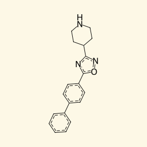 c1ccc(-c2ccc(-c3nc(C4CCNCC4)no3)cc2)cc1